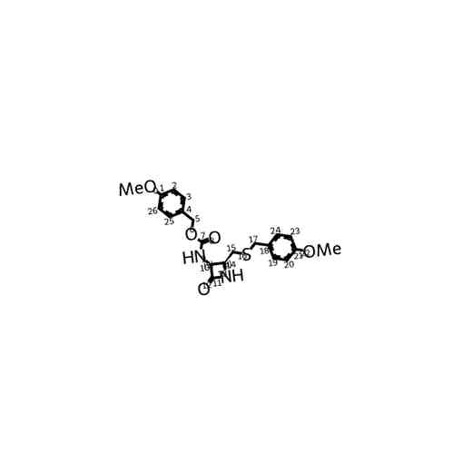 COc1ccc(COC(=O)N[C@@H]2C(=O)N[C@@H]2CSCc2ccc(OC)cc2)cc1